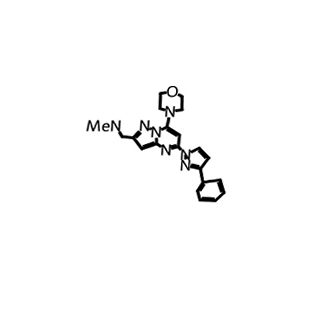 CNCc1cc2nc(-n3ccc(-c4ccccc4)n3)cc(N3CCOCC3)n2n1